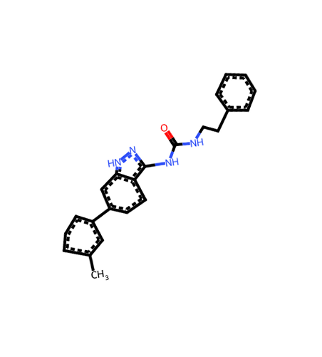 Cc1cccc(-c2ccc3c(NC(=O)NCCc4ccccc4)n[nH]c3c2)c1